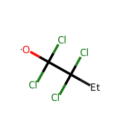 CCC(Cl)(Cl)C([O])(Cl)Cl